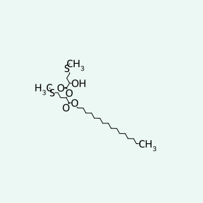 CCCCCCCCCCCCCCCCOC(=O)C(CCSC)OC(=O)C(O)CCSC